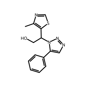 Cc1ncsc1C(CO)n1nncc1-c1ccccc1